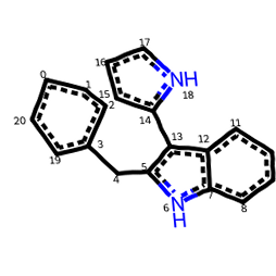 c1ccc(Cc2[nH]c3ccccc3c2-c2ccc[nH]2)cc1